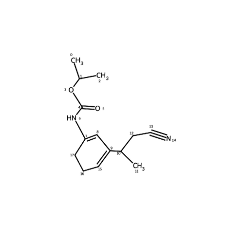 CC(C)OC(=O)NC1=CC(C(C)CC#N)=CCC1